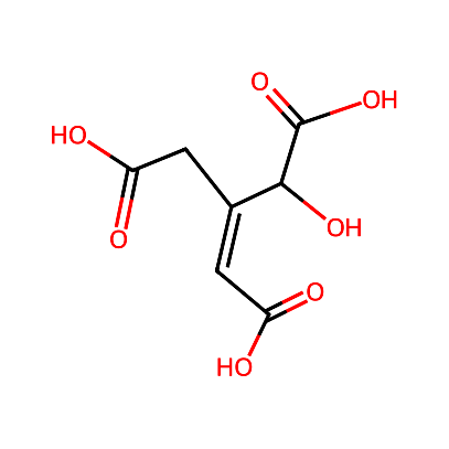 O=C(O)/C=C(/CC(=O)O)C(O)C(=O)O